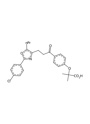 CCCc1oc(-c2ccc(Cl)cc2)nc1CCC(=O)c1ccc(OC(C)(C)C(=O)O)cc1